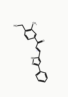 Cc1cc(C(=O)/C=C/c2cc(-c3ccccc3)n[nH]2)ccc1CO